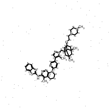 Cc1c(Nc2nc3ccccc3s2)nnc2c1CCCN2c1ccc(-c2cnn(CC34CC5(C)CC(C)(C3)CC(OCCN3CCN(C)CC3)(C5)C4)c2C)cn1